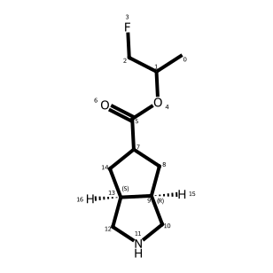 CC(CF)OC(=O)C1C[C@H]2CNC[C@H]2C1